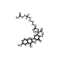 CCC(=O)OCC(C)(C)SSCCOC(=O)O[C@]1(CC)C(=O)OCc2c1cc1n(c2=O)Cc2c-1nc1ccc(O)cc1c2CC